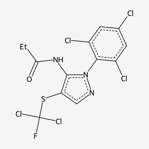 CCC(=O)Nc1c(SC(F)(Cl)Cl)cnn1-c1c(Cl)cc(Cl)cc1Cl